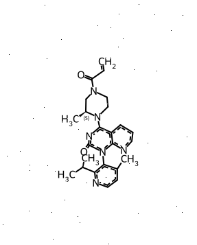 C=CC(=O)N1CCN(c2nc(=O)n(-c3c(C)ccnc3C(C)C)c3ncccc23)[C@@H](C)C1